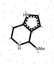 CNC1NCCc2[nH]ccc21